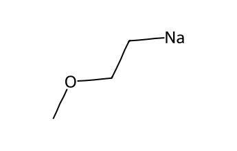 COC[CH2][Na]